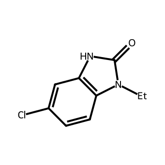 CCn1c(=O)[nH]c2cc(Cl)ccc21